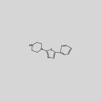 c1ccc(-c2cnc(N3CCNCC3)s2)cc1